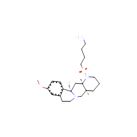 COc1ccc2c(c1)CCN1C[C@H]3CCCN(S(=O)(=O)CCCCN)[C@H]3C[C@@H]21